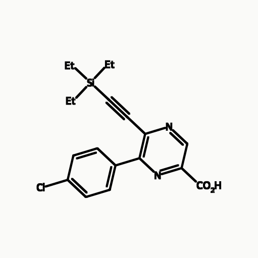 CC[Si](C#Cc1ncc(C(=O)O)nc1-c1ccc(Cl)cc1)(CC)CC